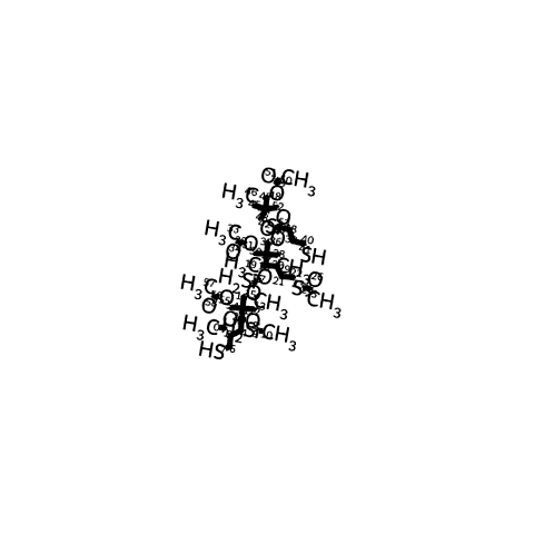 CCOC(CCCS)(O[SiH2]C)C(CC)(CO[SiH2]OC(C)(CCCSC(C)=O)C(CC)(COC(C)=O)CO[Si]1(CCCS)OCC(CC)(COC(C)=O)CO1)COC(C)=O